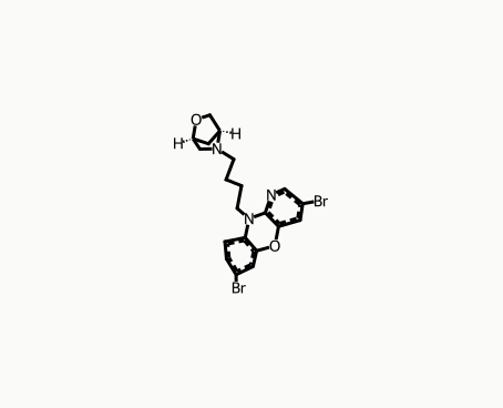 Brc1ccc2c(c1)Oc1cc(Br)cnc1N2CCCCN1C[C@@H]2C[C@H]1CO2